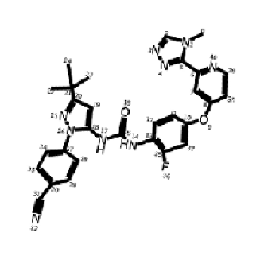 Cn1cnnc1-c1cc(Oc2ccc(NC(=O)Nc3cc(C(C)(C)C)nn3-c3ccc(C#N)cc3)c(F)c2)ccn1